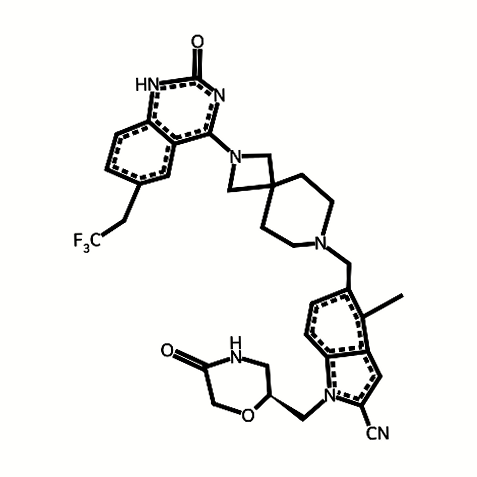 Cc1c(CN2CCC3(CC2)CN(c2nc(=O)[nH]c4ccc(CC(F)(F)F)cc24)C3)ccc2c1cc(C#N)n2C[C@@H]1CNC(=O)CO1